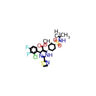 COC(=O)C1=C([C@H]2CC[C@@H](S(=O)(=O)NC(C)C)CC2)NC(c2nccs2)=NC1c1ccc(F)c(F)c1Cl